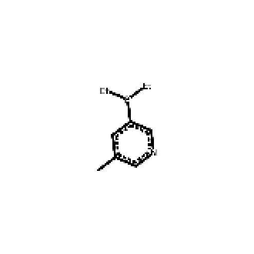 CCB(CC)c1cncc(C)c1